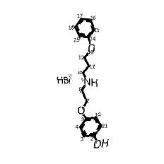 Br.Oc1ccc(OCCNCCCOc2ccccc2)cc1